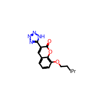 CC(C)CCOc1cccc2cc(-c3nnn[nH]3)c(=O)oc12